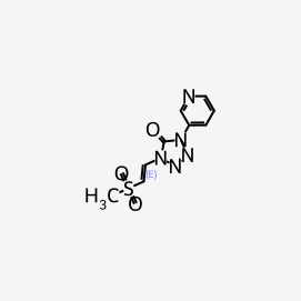 CS(=O)(=O)/C=C/n1nnn(-c2cccnc2)c1=O